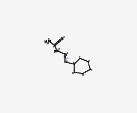 NC(=O)N/N=C/C1CCCCC1